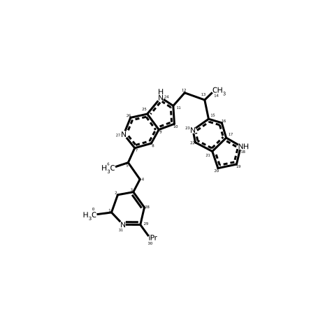 CC1CC(CC(C)c2cc3cc(CC(C)c4cc5[nH]ccc5cn4)[nH]c3cn2)=CC(C(C)C)=N1